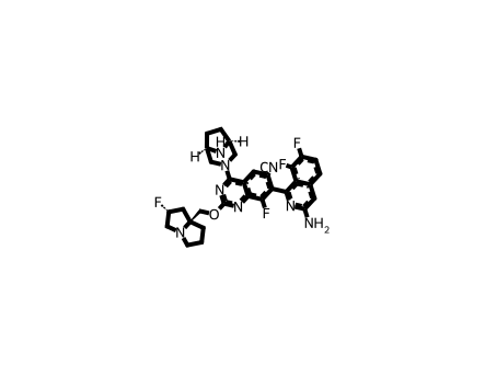 N#Cc1cc2c(N3C[C@H]4CC[C@@H](C3)N4)nc(OC[C@@]34CCCN3C[C@H](F)C4)nc2c(F)c1-c1nc(N)cc2ccc(F)c(F)c12